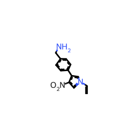 C=Cn1cc(-c2ccc(CN)cc2)c([N+](=O)[O-])c1